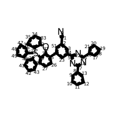 N#Cc1cc(-c2nc(-c3ccccc3)nc(-c3ccccc3)n2)cc(-c2cccc3c2Oc2ccccc2S3(c2ccccc2)c2ccccc2)c1